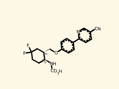 N#Cc1ccc(-c2ccc(OC[C@H]3CC(F)(F)CC[C@@H]3NC(=O)O)cc2)nc1